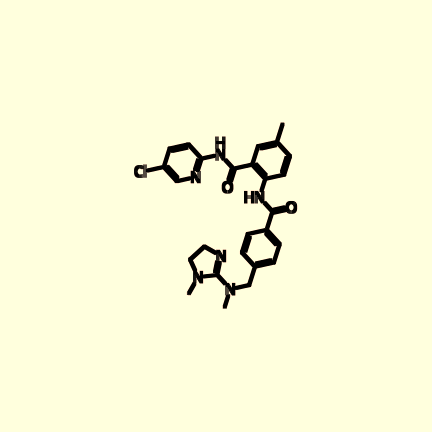 Cc1ccc(NC(=O)c2ccc(CN(C)C3=NCCN3C)cc2)c(C(=O)Nc2ccc(Cl)cn2)c1